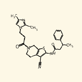 Cc1cn(CCC(=O)N2CCc3c(sc(NC(=O)CC(C)c4ccccc4)c3C#N)C2)c(C)n1